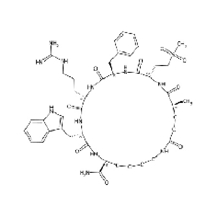 C[C@H]1CCC(=O)NCCCC[C@@H](C(N)=O)NC(=O)[C@H](Cc2c[nH]c3ccccc23)NC(=O)[C@H](CCCNC(=N)N)NC(=O)[C@@H](Cc2ccccc2)NC(=O)[C@H](CCS(C)(=O)=O)NC1=O